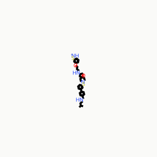 CNSc1cccc(OCCCNC2COC3(CCN(Sc4cccc(-c5ccc(CNCCC(C)C)cc5)c4)CC3)C2)c1